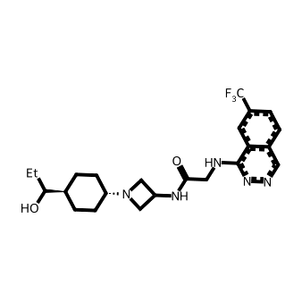 CCC(O)[C@H]1CC[C@H](N2CC(NC(=O)CNc3nncc4ccc(C(F)(F)F)cc34)C2)CC1